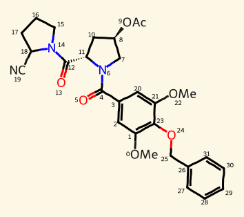 COc1cc(C(=O)N2C[C@H](OC(C)=O)C[C@H]2C(=O)N2CCCC2C#N)cc(OC)c1OCc1ccccc1